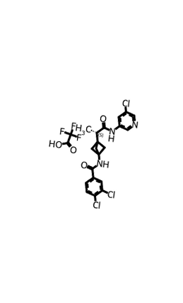 C[C@H](C(=O)Nc1cncc(Cl)c1)C12CC(NC(=O)c3ccc(Cl)c(Cl)c3)(C1)C2.O=C(O)C(F)(F)F